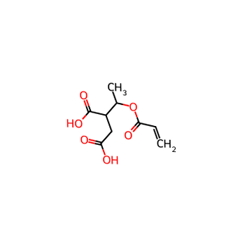 C=CC(=O)OC(C)C(CC(=O)O)C(=O)O